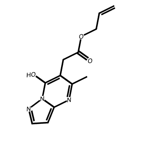 C=CCOC(=O)Cc1c(C)nc2ccnn2c1O